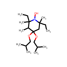 CCC1(C)CC(OCC(C)C)(OCC(C)C)C(C)C(C)(CC)N1O